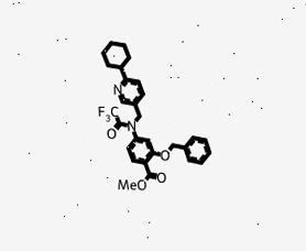 COC(=O)c1ccc(N(Cc2ccc(C3CCCCC3)nc2)C(=O)C(F)(F)F)cc1OCc1ccccc1